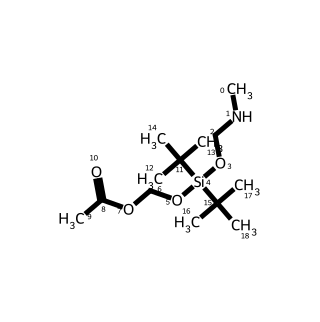 CNCO[Si](OCOC(C)=O)(C(C)(C)C)C(C)(C)C